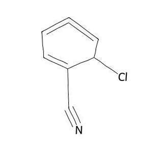 N#CC1=CC=C=CC1Cl